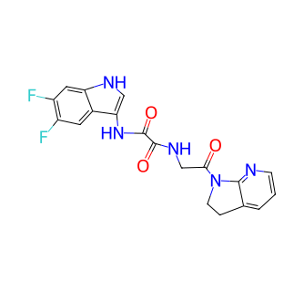 O=C(NCC(=O)N1CCc2cccnc21)C(=O)Nc1c[nH]c2cc(F)c(F)cc12